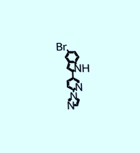 Brc1ccc2[nH]c(-c3ccc(-n4ccnc4)nc3)cc2c1